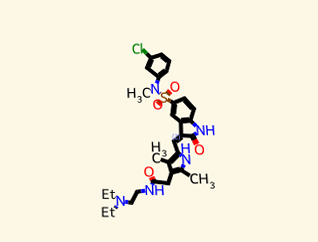 CCN(CC)CCNC(=O)Cc1c(C)[nH]c(/C=C2\C(=O)Nc3ccc(S(=O)(=O)N(C)c4cccc(Cl)c4)cc32)c1C